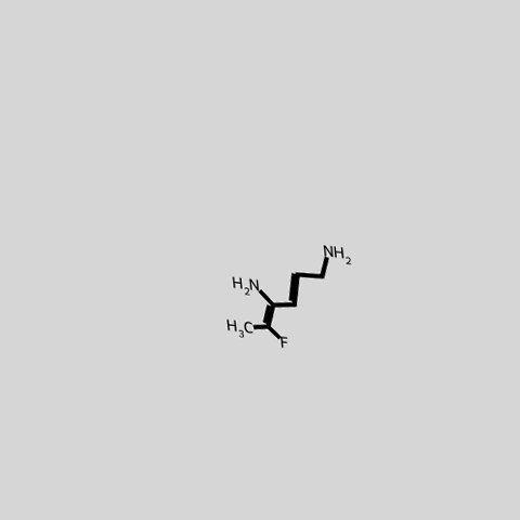 C/C(F)=C(N)/C=C/CN